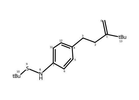 C=C(CCc1ccc(NSC(C)(C)C)cc1)C(C)(C)C